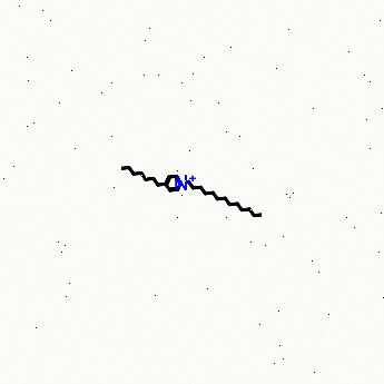 CCCCCCCCCCCCC[n+]1ccc(CCCCCCC)cc1